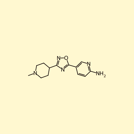 CN1CCC(c2noc(-c3ccc(N)nc3)n2)CC1